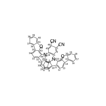 N#Cc1cc(-n2c3ccccc3c3ccc4c5ccccc5oc4c32)c(-n2c3ccccc3c3ccc4c5ccccc5oc4c32)cc1C#N